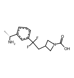 C[C@@H](N)c1cccc(C(F)(F)CC2CN(C(=O)O)C2)c1